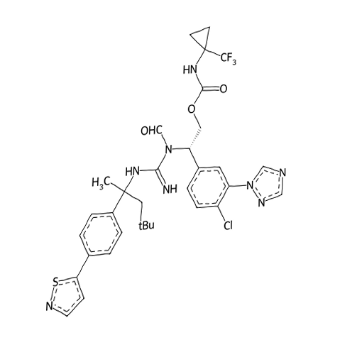 CC(C)(C)CC(C)(NC(=N)N(C=O)[C@H](COC(=O)NC1(C(F)(F)F)CC1)c1ccc(Cl)c(-n2cncn2)c1)c1ccc(-c2ccns2)cc1